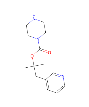 CC(C)(Cc1cccnc1)OC(=O)N1CCNCC1